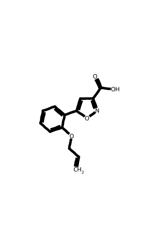 C=CCOc1ccccc1-c1cc(C(=O)O)no1